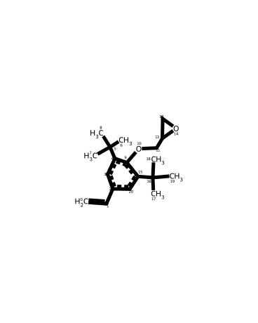 C=Cc1cc(C(C)(C)C)c(OCC2CO2)c(C(C)(C)C)c1